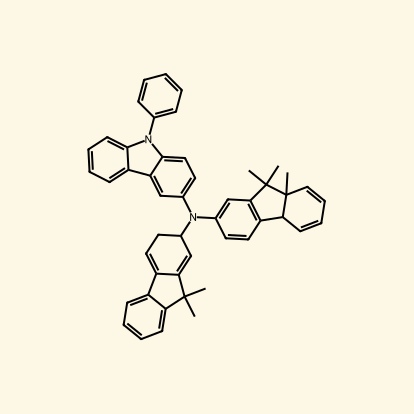 CC1(C)C2=CC(N(c3ccc4c(c3)C(C)(C)C3(C)C=CC=CC43)c3ccc4c(c3)c3ccccc3n4-c3ccccc3)CC=C2c2ccccc21